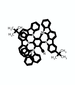 CC(C)(C)c1ccc2c(c1)c1ccc3c4ccccc4sc3c1n2-c1c(C#N)c(-n2c3ccccc3c3ccccc32)c(-n2c3ccc(C(C)(C)C)cc3c3ccc4c5ccccc5sc4c32)c(-n2c3ccccc3c3ccccc32)c1C#N